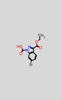 CCOC(=O)c1nn(C(=O)O)c2cc(Br)ccc12